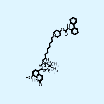 CC(C)(C)[Si](C)(C)O[C@@H](CNCCCCCCCCCN1CCC(OC(=O)Nc2ccccc2-c2ccccc2)CC1)c1ccc(O)c2[nH]c(=O)ccc12